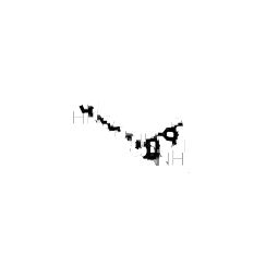 C=CC(=O)NCCOCCOCCNC(=O)[C@@H]1C[C@H](Cc2cc(Cl)cc(OC)c2)Cn2c(N)nc(C)c21